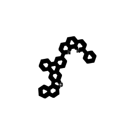 c1ccc(-c2ccc3ccc4ccc(-c5ccc6c(c5)c5ccccc5c5cc7c(cc65)oc5ccc6ccccc6c57)nc4c3n2)cc1